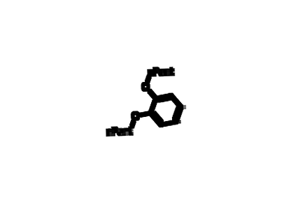 CCCCCOc1c[c][c]cc1OCCCCC